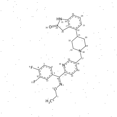 CCON=C(c1ccc(F)c(F)c1)c1ccc(CN2CCC(c3cccc4c3CC(=O)N4)CC2)cn1